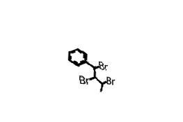 CC(Br)C(Br)C(Br)c1ccccc1